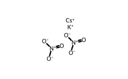 O=[N+]([O-])[O-].O=[N+]([O-])[O-].[Cs+].[K+]